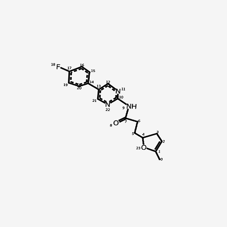 CC1=CCC(CCC(=O)Nc2ncc(-c3ccc(F)cc3)cn2)O1